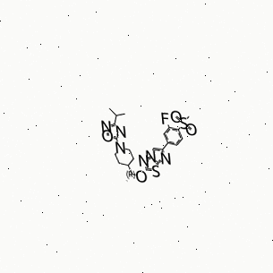 CC(C)c1noc(N2CCC([C@@H](C)Oc3nn4cc(-c5ccc(S(C)(=O)=O)c(F)c5)nc4s3)CC2)n1